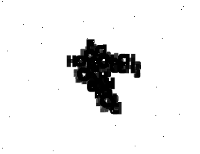 CC(C)(C)CN1CCC2(CC1)CN(c1ccccc1NC(=O)Nc1nc3ccc(Cl)nc3s1)c1c(O)cc(F)c(Cl)c12